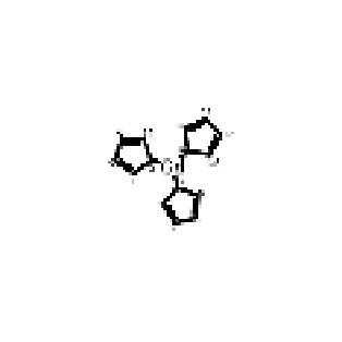 C1=C[CH]([Gd]([CH]2C=CC=C2)[CH]2C=CC=C2)C=C1